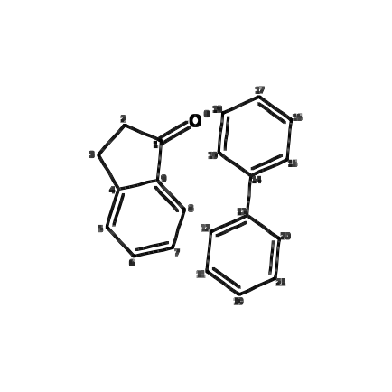 O=C1CCc2ccccc21.c1ccc(-c2ccccc2)cc1